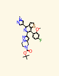 COc1cc(F)ccc1-c1c(-c2cc3n(n2)CCN(C(=O)OC(C)(C)C)C3)nc(-c2cnn(C)c2)c2ccsc12